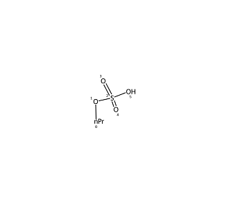 [CH2]CCOS(=O)(=O)O